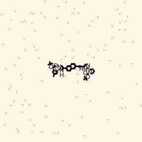 CC1=C[C@@H](c2ncc(-c3ccc4cc(C#Cc5cnc([C@@H]6CCCN6C(=O)OC(C)(C)C)[nH]5)ccc4c3)[nH]2)N(C(=O)OC(C)(C)C)C1